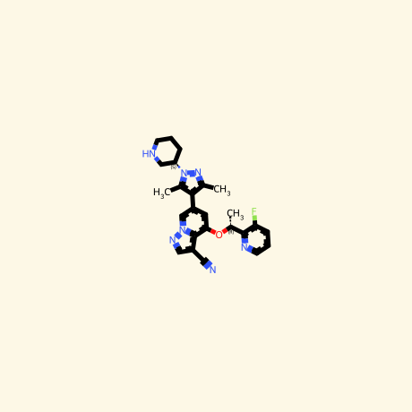 Cc1nn([C@H]2CCCNC2)c(C)c1-c1cc(O[C@H](C)c2ncccc2F)c2c(C#N)cnn2c1